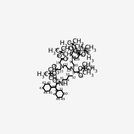 CC(C)(C)OC(=O)CN(CCN(CCN(CC(=O)OC(C)(C)C)CC(=O)OC(C)(C)C)[C@@H](CCCCNC(=O)C(C1CCCCC1)C1CCCCC1)C(=O)OC(C)(C)C)CC(=O)OC(C)(C)C